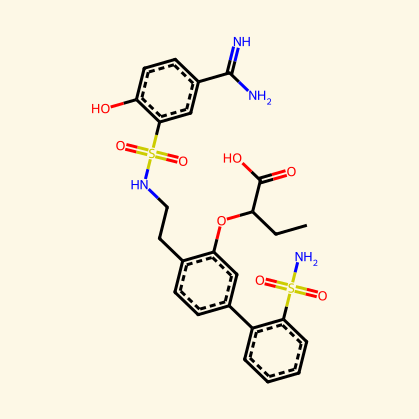 CCC(Oc1cc(-c2ccccc2S(N)(=O)=O)ccc1CCNS(=O)(=O)c1cc(C(=N)N)ccc1O)C(=O)O